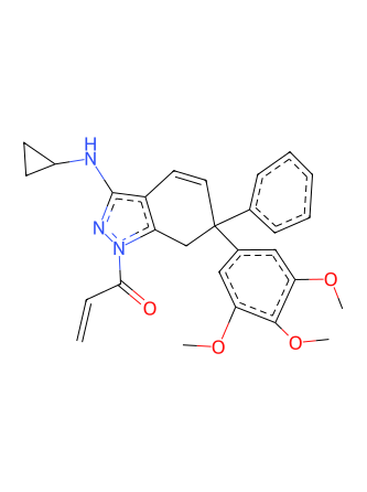 C=CC(=O)n1nc(NC2CC2)c2c1CC(c1ccccc1)(c1cc(OC)c(OC)c(OC)c1)C=C2